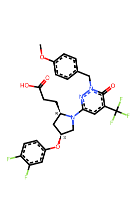 COc1ccc(Cn2nc(N3C[C@@H](Oc4ccc(F)c(F)c4)C[C@H]3CCC(=O)O)cc(C(F)(F)F)c2=O)cc1